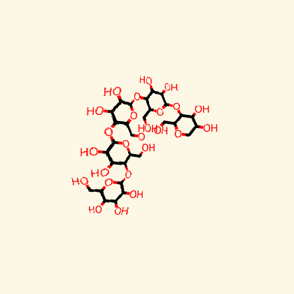 OCC1OC(OC2C(CO)OC(OC3C(CO)OC(OC4C(CO)OC(OC5C(CO)OCC(O)C5O)C(O)C4O)C(O)C3O)C(O)C2O)C(O)C(O)C1O